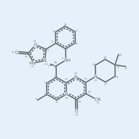 Cc1cc([C@@H](C)Nc2ccccc2-c2n[nH]c(=O)o2)c2nc(N3CCC(C)(C)CC3)c(C#N)c(=O)n2c1